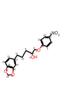 O=[N+]([O-])c1ccc(OCC(O)CCCc2ccc3c(c2)OCO3)cc1